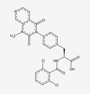 Cn1c(=O)n(-c2ccc(C[C@H](NC(=O)c3c(Cl)cccc3Cl)C(=O)O)cc2)c(=O)c2ccncc21